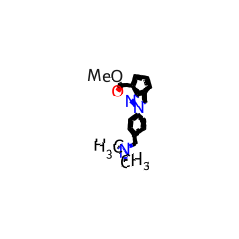 COC(=O)c1cccc2cn(-c3ccc(CN(C)C)cc3)nc12